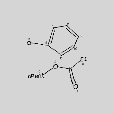 CCCCCOC(=O)CC.Clc1ccccc1